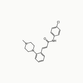 CN1CCN(c2ccccc2C=CC(=O)Nc2ccc(Cl)cc2)CC1